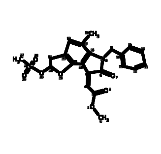 COC(=O)C=C1C(=O)N(Cc2ccccc2)c2c(C)cc3c(c21)OC(OS(C)(=O)=O)C3